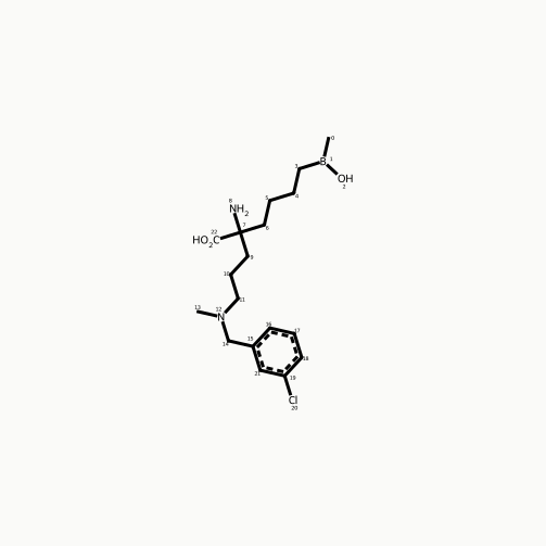 CB(O)CCCCC(N)(CCCN(C)Cc1cccc(Cl)c1)C(=O)O